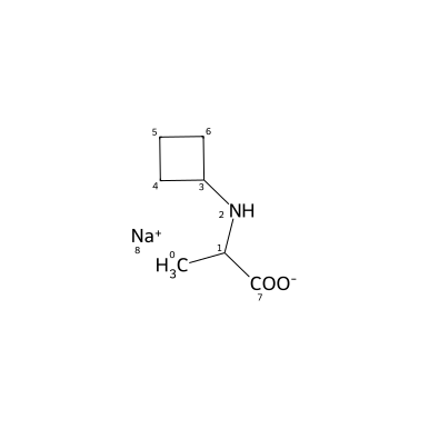 CC(NC1CCC1)C(=O)[O-].[Na+]